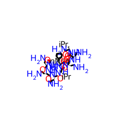 CCCCCCCCCC(=O)N[C@H](CCN)C(=O)N[C@@H](CCN)C(=O)N[C@@H](CCN)C(=O)N[C@@H](CC(C)C)C(=O)N[C@H](Cc1ccccc1)C(=O)N[C@@H](CCN)C(=O)N[C@@H](CCN)C(=O)N[C@@H](CC(C)C)C(N)=O